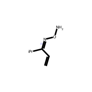 C=C/C(=N\ON)C(C)C